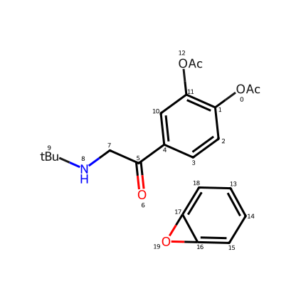 CC(=O)Oc1ccc(C(=O)CNC(C)(C)C)cc1OC(C)=O.c1ccc2c(c1)O2